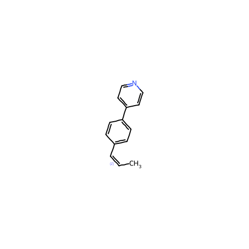 C/C=C\c1ccc(-c2ccncc2)cc1